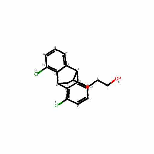 OCCCC1CC2c3c(Cl)cccc3C1c1cccc(Cl)c12